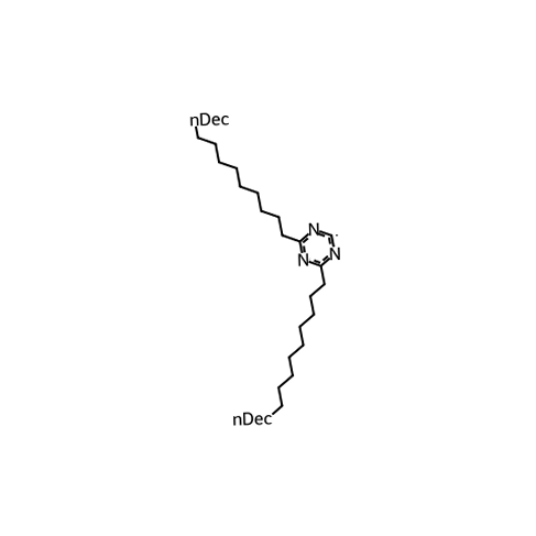 CCCCCCCCCCCCCCCCCCCc1n[c]nc(CCCCCCCCCCCCCCCCCCC)n1